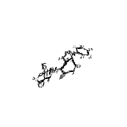 FC(F)(F)C1(CNc2cccc3c2cnn3-c2ccccc2)CO1